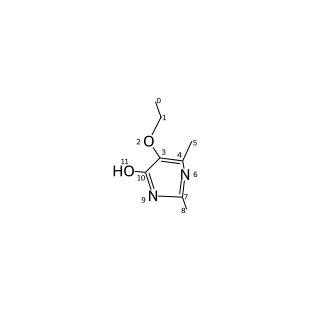 CCOc1c(C)nc(C)nc1O